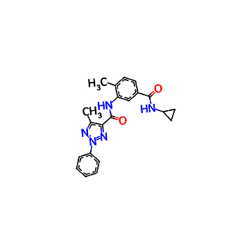 Cc1ccc(C(=O)NC2CC2)cc1NC(=O)c1nn(-c2ccccc2)nc1C